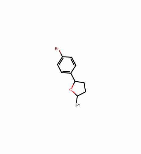 CC(C)C1CCC(c2ccc(Br)cc2)O1